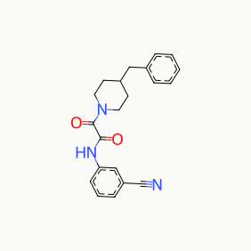 N#Cc1cccc(NC(=O)C(=O)N2CCC(Cc3ccccc3)CC2)c1